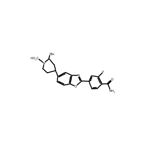 CC(C)(C)C1CC(c2ccc3oc(-c4ccc(C(N)=O)c(F)c4)nc3c2)CCN1C(=O)O